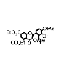 C=CCc1c(-c2oc3cc(C(=O)OCC)cc(C(=O)OCC)c3c(=O)c2OC)ccc(OC)c1O